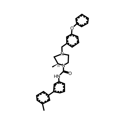 Cc1cccc(-c2cccc(NC(=O)N3CCN(Cc4cccc(Oc5ccccc5)c4)C[C@@H]3C)c2)c1